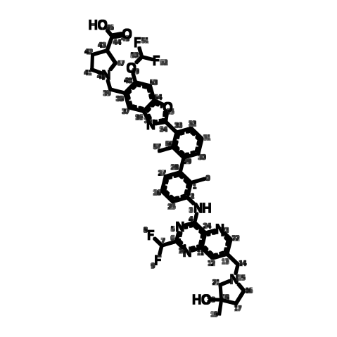 Cc1c(Nc2nc(C(F)F)nc3cc(CN4CCC(C)(O)C4)cnc23)cccc1-c1cccc(-c2nc3cc(CN4CCC(C(=O)O)C4)c(OC(F)F)cc3o2)c1C